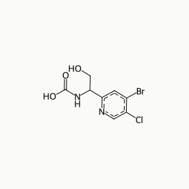 O=C(O)NC(CO)c1cc(Br)c(Cl)cn1